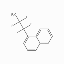 FC(F)(F)C(F)(F)C(F)(F)c1cc[c]c2ccccc12